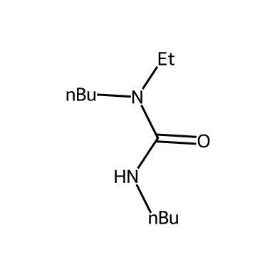 CCCCNC(=O)N(CC)CCCC